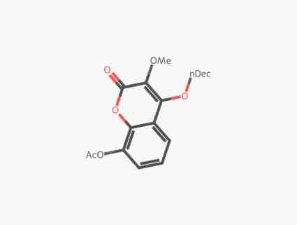 CCCCCCCCCCOc1c(OC)c(=O)oc2c(OC(C)=O)cccc12